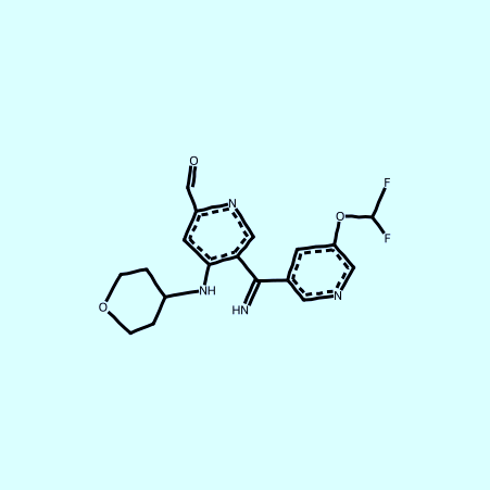 N=C(c1cncc(OC(F)F)c1)c1cnc(C=O)cc1NC1CCOCC1